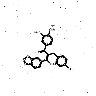 COc1ccc(C(=O)C(Cc2ccc(C)cc2)=C(C(=O)[O-])c2ccc3nsnc3c2)cc1OC.[Na+]